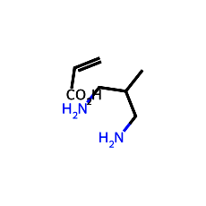 C=CC(=O)O.CC(CN)CN